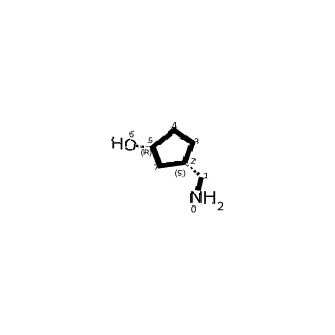 NC[C@H]1CC[C@@H](O)C1